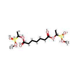 CCOS(=O)C(C)OC(=O)CCCCCC(=O)OC(C)S(=O)OCC